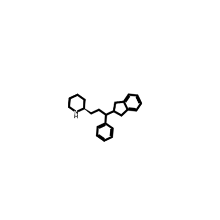 c1ccc(C(CC[C@@H]2CCCCN2)C2Cc3ccccc3C2)cc1